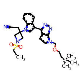 CCS(=O)(=O)N1CC(CC#N)(n2cc(-c3ncnc4c3ccn4COCC[Si](C)(C)C)c3ccccc32)C1